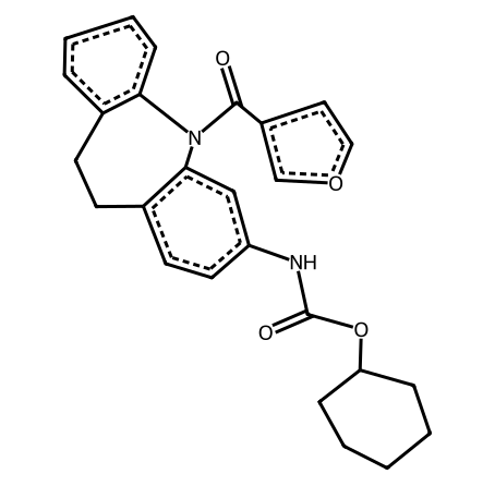 O=C(Nc1ccc2c(c1)N(C(=O)c1ccoc1)c1ccccc1CC2)OC1CCCCC1